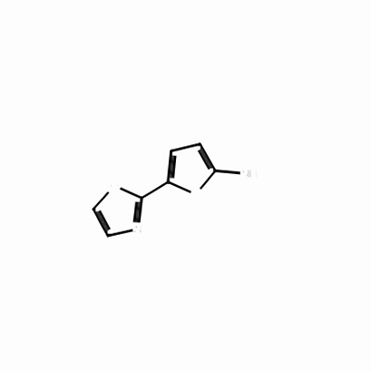 Nc1ccc(-c2ncco2)s1